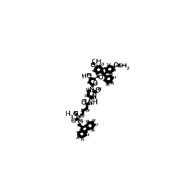 COc1ccc(C(OC[C@H]2O[C@@H](n3ccc(NC(=O)CCCN(C)C(=O)OCC4c5ccccc5-c5ccccc54)nc3=O)C[C@H]2O)(c2ccccc2)c2ccc(OC)cc2)cc1